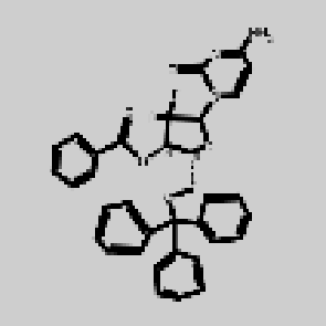 Nc1ccn(C2O[C@H](COC(c3ccccc3)(c3ccccc3)c3ccccc3)[C@@H](OC(=O)c3ccccc3)C2(F)F)c(=O)n1